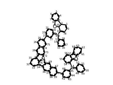 C1=CC2c3ccccc3OC2C(N(c2ccccc2)c2cccc(-c3ccc4cc5c6cccc7c8cc9ccc(-c%10cccc(N(c%11ccccc%11)c%11cccc%12c%11oc%11ccccc%11%12)c%10)cc9cc8n(c5cc4c3)c67)c2)=C1